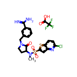 CN(C1CCN(Cc2cccc(C(=N)N)c2)C1=O)S(=O)(=O)c1cc2nc(Cl)ccc2s1.O=C(O)C(F)(F)F